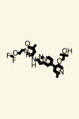 Cc1cc(-c2ccn3nc(Nc4cc(C)c(=O)n(CCOC(F)F)n4)cc3c2)c(OCC(C)(C)O)cn1